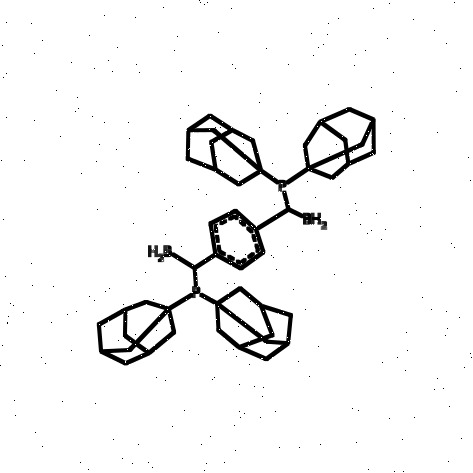 BC(c1ccc(C(B)P(C23CC4CC(CC(C4)C2)C3)C23CC4CC(CC(C4)C2)C3)cc1)P(C12CC3CC(CC(C3)C1)C2)C12CC3CC(CC(C3)C1)C2